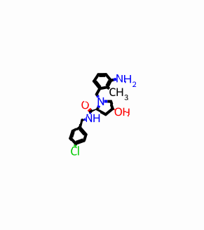 Cc1c(N)cccc1CN1C[C@H](O)C[C@H]1C(=O)NCc1ccc(Cl)cc1